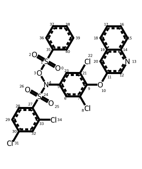 O=S(=O)(ON(c1cc(Cl)c(Oc2cnc3ccccc3c2)c(Cl)c1)S(=O)(=O)c1ccc(Cl)cc1Cl)c1ccccc1